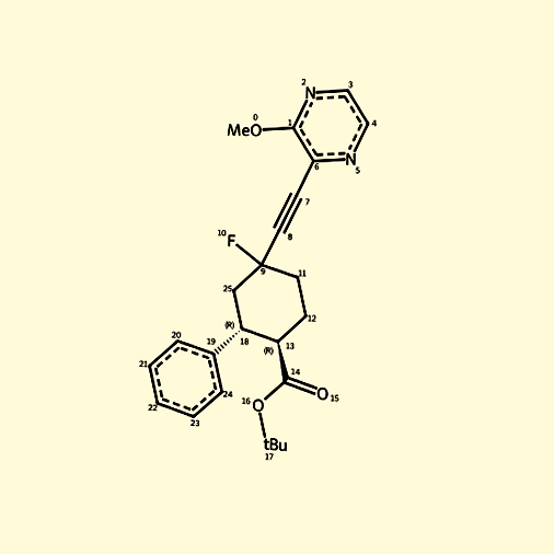 COc1nccnc1C#CC1(F)CC[C@@H](C(=O)OC(C)(C)C)[C@H](c2ccccc2)C1